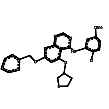 COc1ccc(Cl)c(Nc2ncnc3cc(OCc4ccccc4)cc(OC4CCOC4)c23)c1